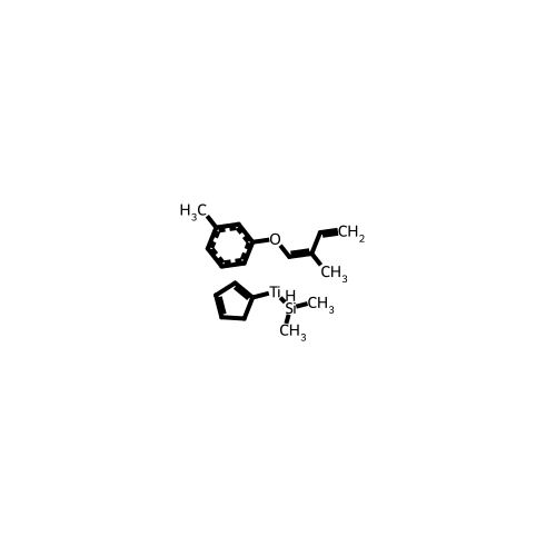 C=CC(C)=COc1cccc(C)c1.C[SiH](C)[Ti][C]1=CC=CC1